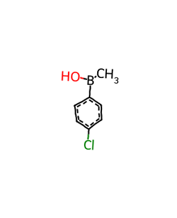 CB(O)c1ccc(Cl)cc1